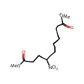 COC(=O)CCCCC(CCC(=O)OC)[N+](=O)[O-]